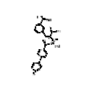 C[C@@H](NC(=O)c1ccc(-c2cc[n+]([O-])cc2)cc1)[C@@H](Cc1cccc(C(=N)N)c1)C(=O)O.Cl